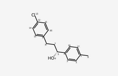 Cc1ccc([C@H](O)CCc2ccc(Cl)cc2)cc1